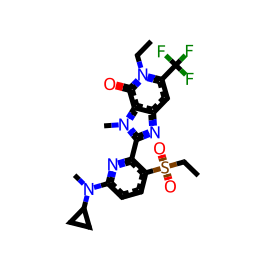 CCn1c(C(F)(F)F)cc2nc(-c3nc(N(C)C4CC4)ccc3S(=O)(=O)CC)n(C)c2c1=O